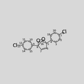 Clc1ccc(C23C=CC(c4ccc(Cl)cc4)(C2)OO3)cc1